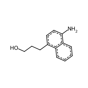 Nc1ccc(CCCO)c2ccccc12